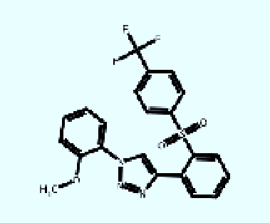 COc1ccccc1-n1cc(-c2ccccc2S(=O)(=O)c2ccc(C(F)(F)F)cc2)nn1